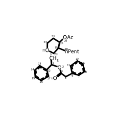 CC(OC(=O)Cc1ccccc1)c1ccccc1.CCCCCC1COCCC1OC(C)=O